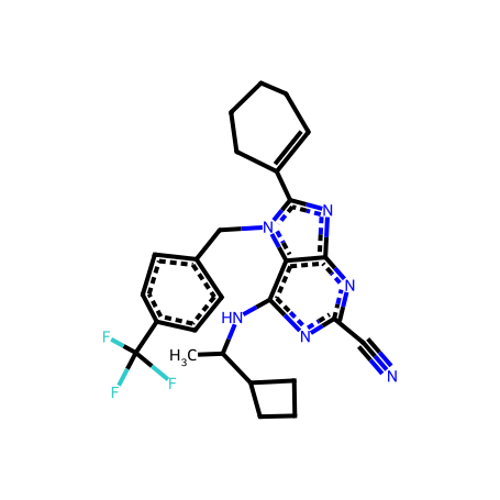 CC(Nc1nc(C#N)nc2nc(C3=CCCCC3)n(Cc3ccc(C(F)(F)F)cc3)c12)C1CCC1